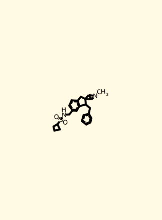 CN1C2C1C21Cc2ccc(CNS(=O)(=O)C3CCC3)cc2C1Cc1ccccc1